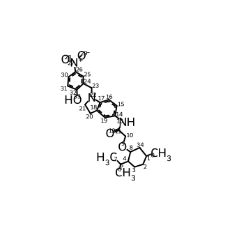 CC1CCC(C(C)C)C(OCC(=O)Nc2ccc3c(c2)CCN3Cc2cc([N+](=O)[O-])ccc2O)C1